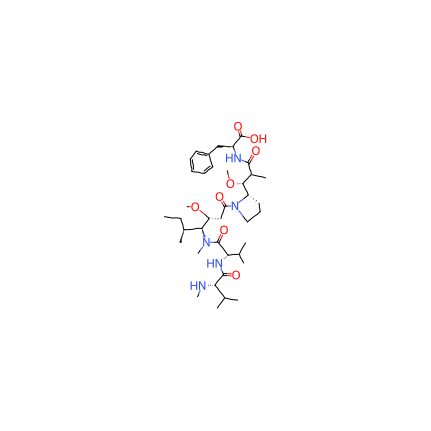 CC[C@H](C)[C@@H]([C@@H](CC(=O)N1CCC[C@H]1[C@H](OC)C(C)C(=O)N[C@@H](Cc1ccccc1)C(=O)O)OC)N(C)C(=O)[C@@H](NC(=O)[C@@H](NC)C(C)C)C(C)C